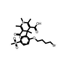 CC1=C(C(=O)O)C(C)(c2cc(S(C)(=O)=O)ccc2OCCCCBr)C(C(=O)O)=C(C)N1C